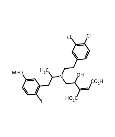 COc1ccc(I)c(CC(C)N(CCc2ccc(Cl)c(Cl)c2)CC(O)/C(=C\C(=O)O)C(=O)O)c1